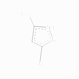 CC(=O)Oc1cc(C(C)=O)n[nH]1